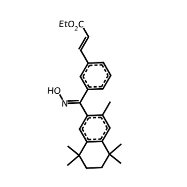 CCOC(=O)C=Cc1cccc(C(=NO)c2cc3c(cc2C)C(C)(C)CCC3(C)C)c1